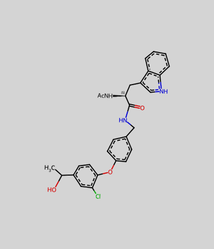 CC(=O)N[C@@H](Cc1c[nH]c2ccccc12)C(=O)NCc1ccc(Oc2ccc(C(C)O)cc2Cl)cc1